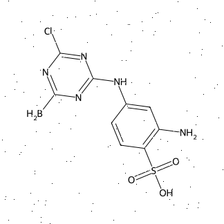 Bc1nc(Cl)nc(Nc2ccc(S(=O)(=O)O)c(N)c2)n1